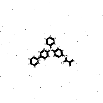 C=C(C)C(=O)Oc1ccc(N(c2ccccc2)c2ccc(-c3ccccc3)cc2)cc1